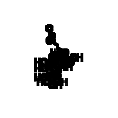 O=C(O)CN(CC(=O)NCCCCCC(=O)OCc1ccccc1)CC(=O)NC(CCO[C@H]1O[C@H](CO)[C@@H](O)[C@H](O)[C@@H]1O)CO[C@H]1O[C@H](CO)[C@@H](O)[C@H](O)[C@@H]1O